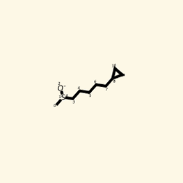 C[S+]([O-])CCCCCC1[CH]C1